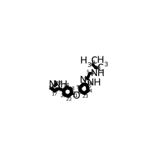 CCC(C)NCc1nc2cc(Oc3ccc(-c4ccn[nH]4)cc3)ccc2[nH]1